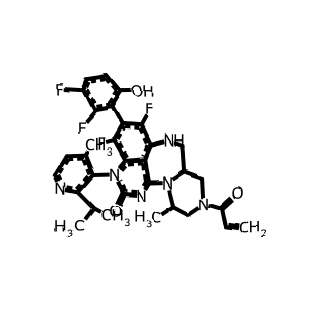 C=CC(=O)N1CC(C)N2c3nc(=O)n(-c4c(C)ccnc4C(C)C)c4c(F)c(-c5c(O)ccc(F)c5F)c(F)c(c34)NCC2C1